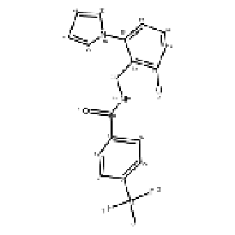 CC(F)(F)c1ccc(C(=O)NCc2c(Cl)cccc2-n2cccc2)cc1